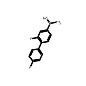 CB(O)c1ccc(-c2ccc(F)cc2)c(F)c1